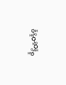 O=C(Nc1ccc(-c2nc3cc(NC(=O)[C@@H]4CCCN4)ccc3o2)cc1)[C@@H]1CCCN1